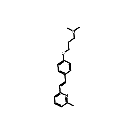 Cc1cccc(C=Cc2ccc(OCCCN(C)C)cc2)n1